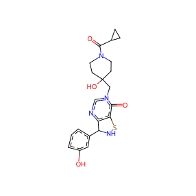 O=C(C1CC1)N1CCC(O)(Cn2cnc3c(c2=O)SNC3c2cccc(O)c2)CC1